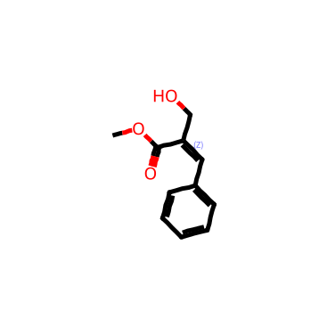 COC(=O)/C(=C\c1ccccc1)CO